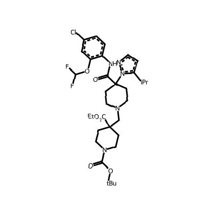 CCOC(=O)C1(CN2CCC(C(=O)Nc3ccc(Cl)cc3OC(F)F)(n3nccc3C(C)C)CC2)CCN(C(=O)OC(C)(C)C)CC1